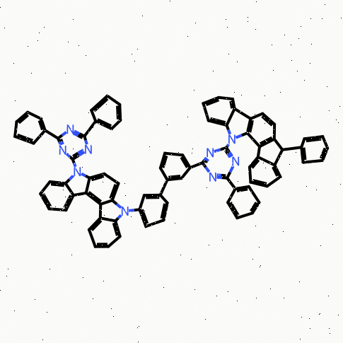 c1ccc(-c2nc(-c3ccccc3)nc(-n3c4ccccc4c4c5c6ccccc6n(-c6cccc(-c7cccc(-c8nc(-c9ccccc9)nc(-n9c%10ccccc%10c%10ccc%11c(c%109)-c9ccccc9C%11c9ccccc9)n8)c7)c6)c5ccc43)n2)cc1